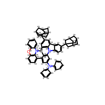 c1ccc(N(c2ccccc2)c2cc3c4c(c2)-n2c5ccc(C67CC8CC(CC(C8)C6)C7)cc5c5cc(C67CC8CC(CC(C8)C6)C7)cc(c52)B4N2c4ccccc4Oc4cccc-3c42)cc1